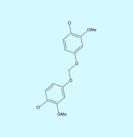 COc1cc(OCOc2ccc(Cl)c(OC)c2)ccc1Cl